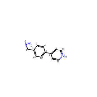 NCc1ccc(-c2ccncc2)cc1